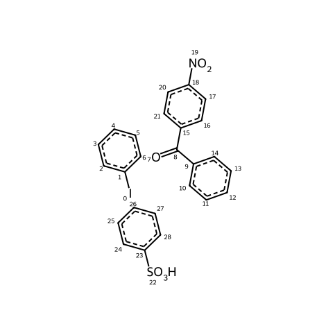 Ic1ccccc1.O=C(c1ccccc1)c1ccc([N+](=O)[O-])cc1.O=S(=O)(O)c1ccccc1